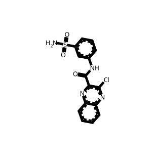 NS(=O)(=O)c1cccc(NC(=O)c2nc3ccccc3nc2Cl)c1